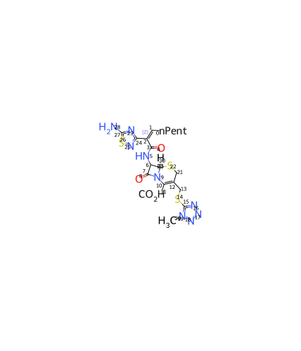 CCCCC/C=C(\C(=O)NC1C(=O)N2C(C(=O)O)=C(CSc3nnnn3C)CS[C@H]12)c1nsc(N)n1